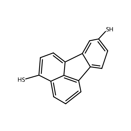 Sc1ccc2c(c1)-c1ccc(S)c3cccc-2c13